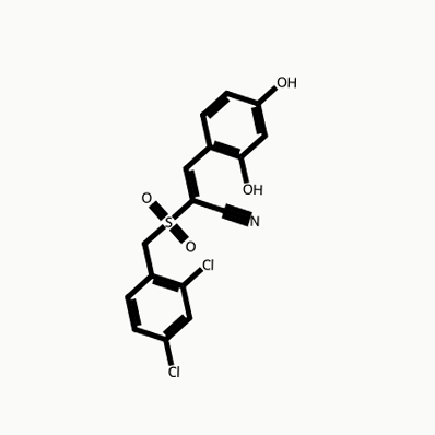 N#CC(=Cc1ccc(O)cc1O)S(=O)(=O)Cc1ccc(Cl)cc1Cl